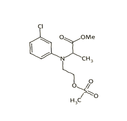 COC(=O)C(C)N(CCOS(C)(=O)=O)c1cccc(Cl)c1